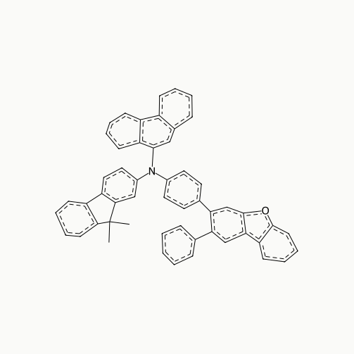 CC1(C)c2ccccc2-c2ccc(N(c3ccc(-c4cc5oc6ccccc6c5cc4-c4ccccc4)cc3)c3cc4ccccc4c4ccccc34)cc21